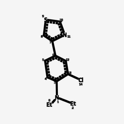 CCN(CC)c1ccc(-c2cs[c]n2)cc1Cl